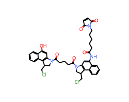 O=C(CCCCCN1C(=O)C=CC1=O)Nc1cc2c(c3ccccc13)C(CCl)CN2C(=O)CCCC(=O)N1CC(CCl)c2c1cc(O)c1ccccc21